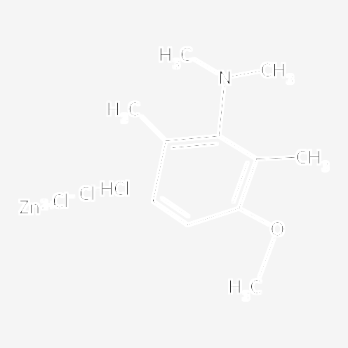 COc1ccc(C)c(N(C)C)c1C.Cl.[Cl-].[Cl-].[Zn+2]